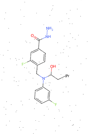 CC(C)CC(O)N(Cc1ccc(C(=O)NN)cc1F)c1cccc(F)c1